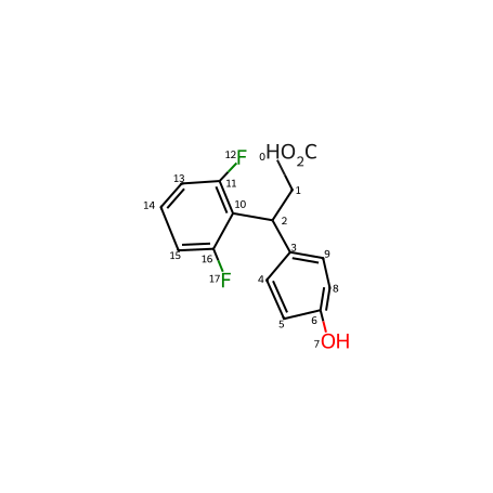 O=C(O)CC(c1ccc(O)cc1)c1c(F)cccc1F